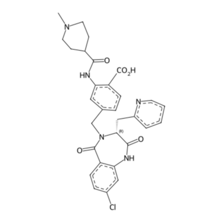 CN1CCC(C(=O)Nc2cc(CN3C(=O)c4ccc(Cl)cc4NC(=O)[C@H]3Cc3ccccn3)ccc2C(=O)O)CC1